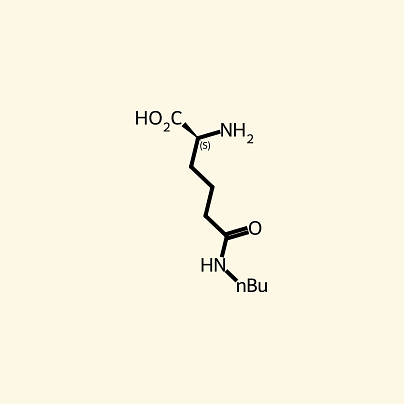 CCCCNC(=O)CCC[C@H](N)C(=O)O